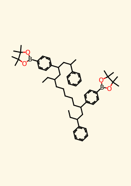 CCC(CCCCCC(CC(CC)c1ccccc1)c1ccc(B2OC(C)(C)C(C)(C)O2)cc1)CC(CC(C)c1ccccc1)c1ccc(B2OC(C)(C)C(C)(C)O2)cc1